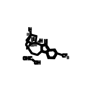 FC(F)(F)c1ccc2c3c([nH]c2c1)[C@@H]1C[C@H]2C[C@@H]1N(CC3)C2.O=CO